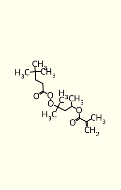 C=C(C)C(=O)OC(C)CC(C)(C)OOC(=O)CCC(C)(C)C